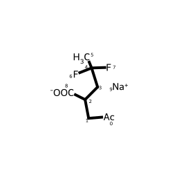 CC(=O)CC(CC(C)(F)F)C(=O)[O-].[Na+]